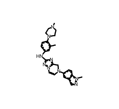 Cc1cc(Nc2nc3n(n2)C=CN(c2ccc4c(cnn4C)c2)C3)ccc1N1CCN(C)CC1